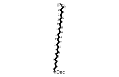 CCCCCCCCCCCCCCCCCCCCCCCCCCC[CH]CCCCCCCCC(C)C